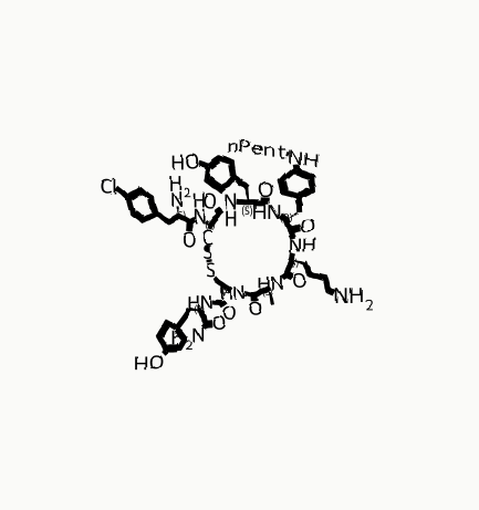 CCCCCNc1ccc(C[C@H]2NC(=O)[C@H](Cc3ccc(O)cc3)NC(=O)[C@H](NC(=O)[C@@H](N)Cc3ccc(Cl)cc3)CSSC[C@@H](C(=O)N[C@H](Cc3ccc(O)cc3)C(N)=O)NC(=O)[C@H](C)NC(=O)[C@H](CCCCN)NC2=O)cc1